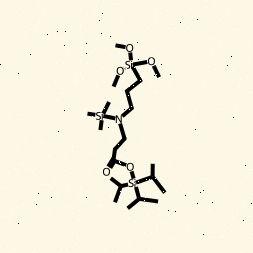 CO[Si](CCCN(CCC(=O)O[Si](C(C)C)(C(C)C)C(C)C)[Si](C)(C)C)(OC)OC